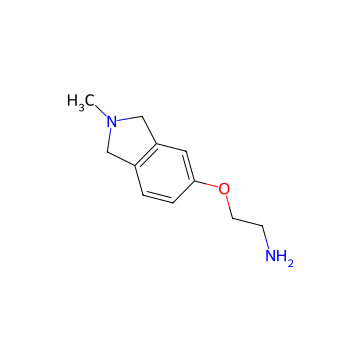 CN1Cc2ccc(OCCN)cc2C1